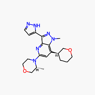 C[C@@H]1COCCN1c1cc([C@@H]2CCCOC2)c2c(n1)c(-c1ccn[nH]1)nn2C